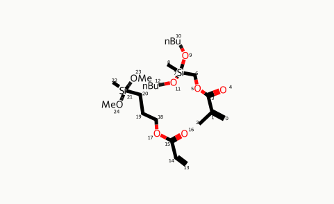 C=C(C)C(=O)OC[Si](C)(OCCCC)OCCCC.C=CC(=O)OCCC[Si](C)(OC)OC